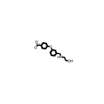 O=[N+]([O-])c1ccc(Oc2cccc(CNCCO)c2)cc1